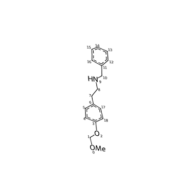 COCOc1ccc(CCNCc2ccccc2)cc1